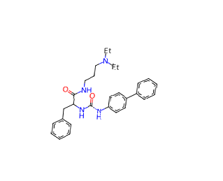 CCN(CC)CCCNC(=O)C(Cc1ccccc1)NC(=O)Nc1ccc(-c2ccccc2)cc1